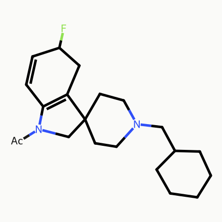 CC(=O)N1CC2(CCN(CC3CCCCC3)CC2)C2=C1C=CC(F)C2